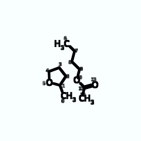 CC1CCCO1.CCCCOC(C)=O